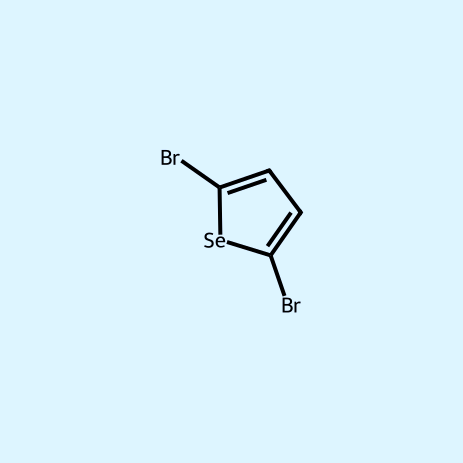 Brc1ccc(Br)[se]1